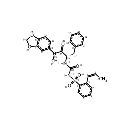 C/C=C\c1ccccc1S(=O)(=O)NC(=O)N[C@@H](Cc1ccccc1)C(=O)N(C)c1ccc2c(c1)OCO2